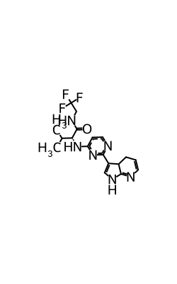 CC(C)[C@@H](Nc1ccnc(C2=CNC3=NC=CCC23)n1)C(=O)NCC(F)(F)F